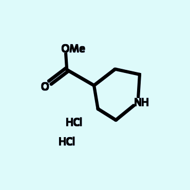 COC(=O)C1CCNCC1.Cl.Cl